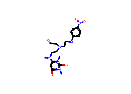 CN(CCN(CCO)CCNc1ccc([N+](=O)[O-])cc1)c1cc(=O)n(C)c(=O)n1C